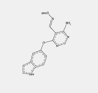 CON=Cc1c(N)ncnc1Oc1ccc2[nH]ccc2c1